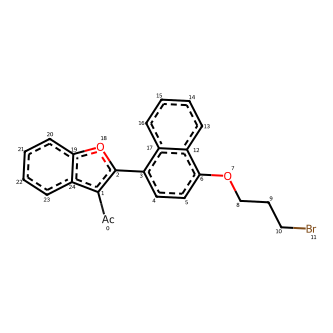 CC(=O)c1c(-c2ccc(OCCCBr)c3ccccc23)oc2ccccc12